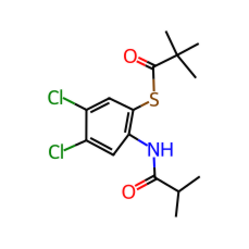 CC(C)C(=O)Nc1cc(Cl)c(Cl)cc1SC(=O)C(C)(C)C